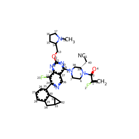 C=C(F)C(=O)N1CCN(c2nc(OCC3CCCN3C)nc3c(F)c(-c4cccc5c4C4CC4C5)ncc23)C[C@@H]1CC#N